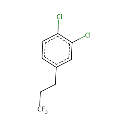 FC(F)(F)CCc1ccc(Cl)c(Cl)c1